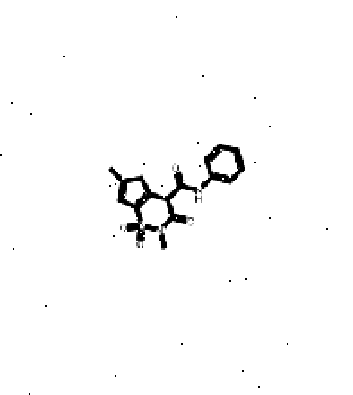 CC1=CC2=C(C1)C(C(=O)Nc1ccccc1)C(=O)N(C)S2(=O)=O